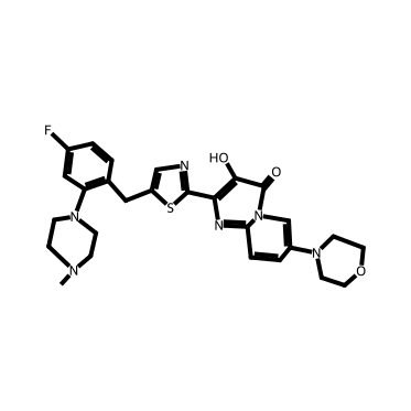 CN1CCN(c2cc(F)ccc2Cc2cnc(-c3nc4ccc(N5CCOCC5)cn4c(=O)c3O)s2)CC1